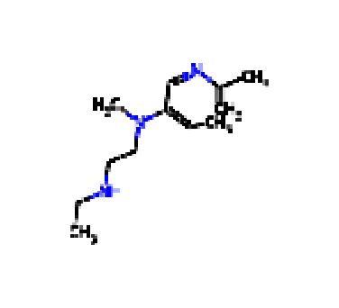 C=C(C)/N=C\C(=C/C)N(C)CCNCC